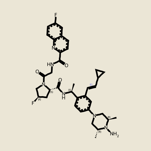 C[C@H](NC(=O)[C@@H]1C[C@@H](F)CN1C(=O)CNC(=O)c1ccc2cc(F)ccc2n1)c1ccc(N2C[C@@H](C)N(N)[C@H](C)C2)cc1/C=C/C1CC1